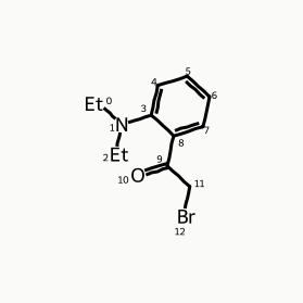 CCN(CC)c1ccccc1C(=O)CBr